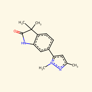 Cc1cc(-c2ccc3c(c2)NC(=O)C3(C)C)n(C)n1